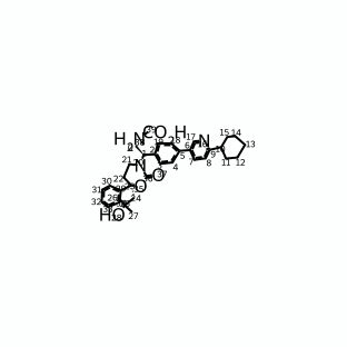 C[C@@H](c1ccc(-c2ccc(C3CCCCC3)nc2)cc1)N1CC[C@](CC(C)(C)O)(c2ccccc2)OC1=O.NC(=O)O